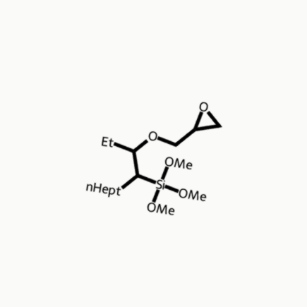 CCCCCCCC(C(CC)OCC1CO1)[Si](OC)(OC)OC